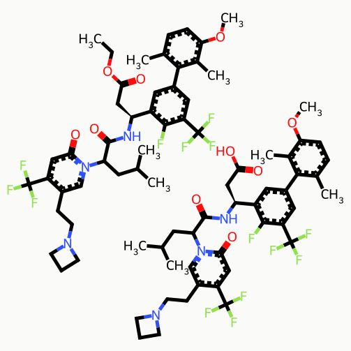 CCOC(=O)C[C@H](NC(=O)C(CC(C)C)n1cc(CCN2CCC2)c(C(F)(F)F)cc1=O)c1cc(-c2c(C)ccc(OC)c2C)cc(C(F)(F)F)c1F.COc1ccc(C)c(-c2cc([C@H](CC(=O)O)NC(=O)C(CC(C)C)n3cc(CCN4CCC4)c(C(F)(F)F)cc3=O)c(F)c(C(F)(F)F)c2)c1C